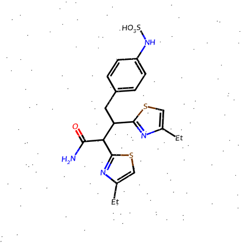 CCc1csc(C(Cc2ccc(NS(=O)(=O)O)cc2)C(C(N)=O)c2nc(CC)cs2)n1